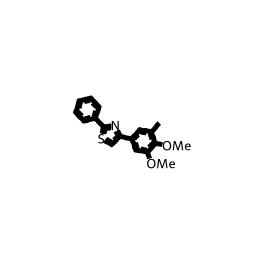 COc1cc(-c2csc(-c3ccccc3)n2)cc(C)c1OC